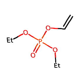 C=COP(=O)(OCC)OCC